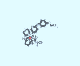 O=C(NO)[C@H]1[C@@H]2CC[C@H](CN1S(=O)(=O)c1ccc(Oc3ccc(OCC(F)(F)F)cc3)nc1)N2C(=O)N1CCOCC1